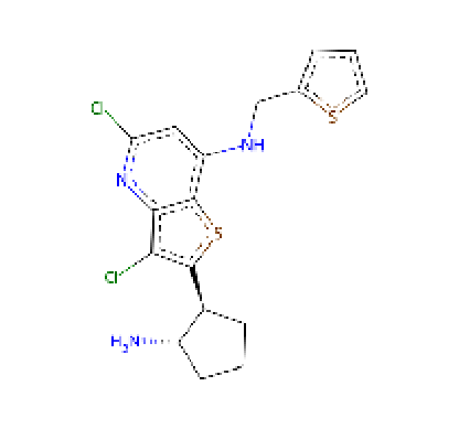 N[C@H]1CCC[C@@H]1c1sc2c(NCc3cccs3)cc(Cl)nc2c1Cl